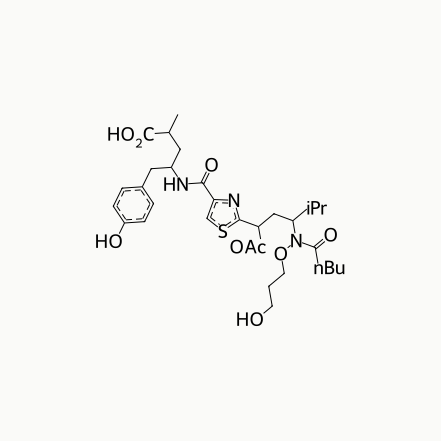 CCCCC(=O)N(OCCCO)C(CC(OC(C)=O)c1nc(C(=O)NC(Cc2ccc(O)cc2)CC(C)C(=O)O)cs1)C(C)C